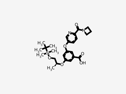 C[C@@H](CO[Si](C)(C)C(C)(C)C)Oc1cc(Oc2ccc(C(=O)N3CCC3)nc2)cc(C(=O)O)c1